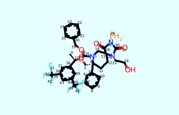 C[C@@H](OC[C@@]1(c2ccccc2)CCC2(CN1C(=O)OCc1ccccc1)C(=O)N(P)C(=O)N2CCO)c1cc(C(F)(F)F)cc(C(F)(F)F)c1